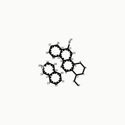 CCC1CCCc2c1ccc1c2cc(F)c2ccccc21.c1ccc2cnccc2c1